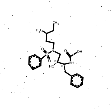 CCC(C)CCN(C[C@@H](O)[C@H](Cc1ccccc1)NC(=O)O)S(=O)(=O)c1ccccc1